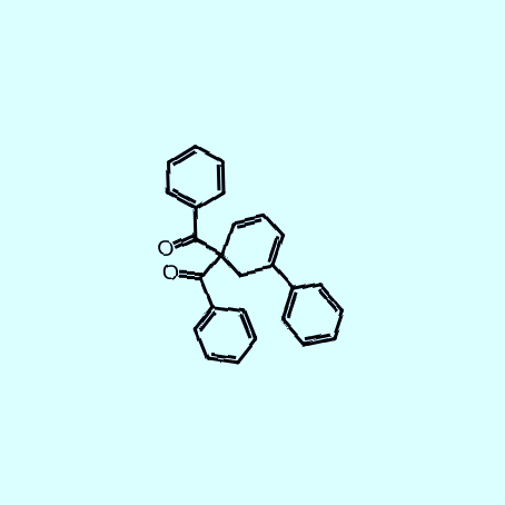 O=C(c1ccccc1)C1(C(=O)c2ccccc2)C=CC=C(c2ccccc2)C1